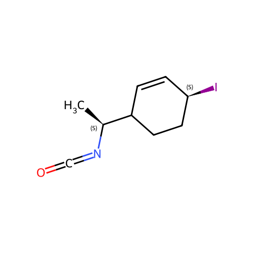 C[C@H](N=C=O)C1C=C[C@@H](I)CC1